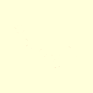 CC1CCCC(C)N1CCc1cn(-c2ccc(/C=C/C(=O)NCc3cccnc3)cc2)c2ccccc12